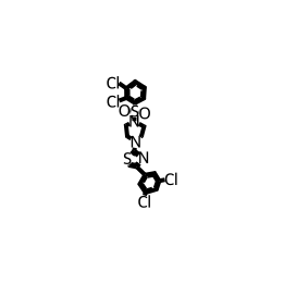 O=S(=O)(c1cccc(Cl)c1Cl)N1CCN(c2nc(-c3cc(Cl)cc(Cl)c3)cs2)CC1